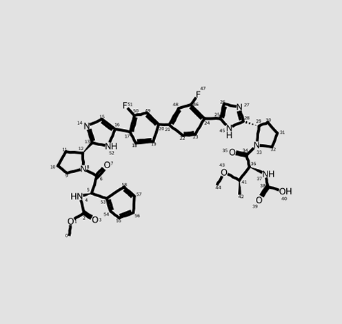 COC(=O)N[C@@H](C(=O)N1CCC[C@H]1c1ncc(-c2ccc(-c3ccc(-c4cnc([C@@H]5CCCN5C(=O)[C@@H](NC(=O)O)[C@@H](C)OC)[nH]4)c(F)c3)cc2F)[nH]1)c1ccccc1